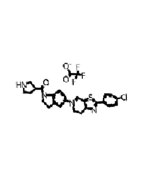 O=C(C1CCNC1)N1CCc2cc([N+]3=Cc4sc(-c5ccc(Cl)cc5)nc4CC3)ccc21.O=C([O-])C(F)(F)F